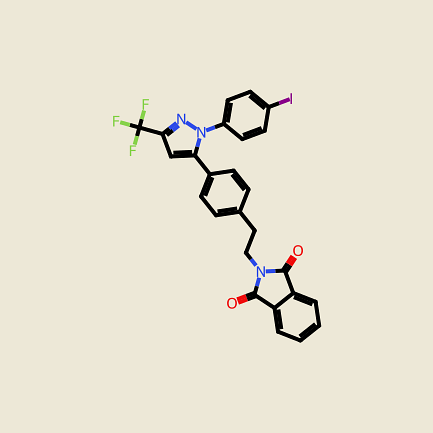 O=C1c2ccccc2C(=O)N1CCc1ccc(-c2cc(C(F)(F)F)nn2-c2ccc(I)cc2)cc1